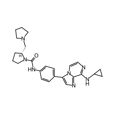 O=C(Nc1ccc(-c2cnc3c(NC4CC4)nccn23)cc1)N1CCC[C@@H]1CN1CCCC1